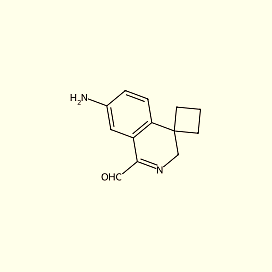 Nc1ccc2c(c1)C(C=O)=NCC21CCC1